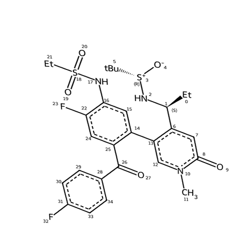 CC[C@H](N[S@@+]([O-])C(C)(C)C)c1cc(=O)n(C)cc1-c1cc(NS(=O)(=O)CC)c(F)cc1C(=O)c1ccc(F)cc1